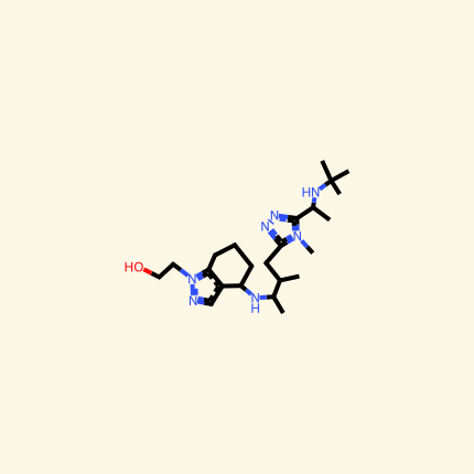 CC(NC(C)(C)C)c1nnc(CC(C)C(C)NC2CCCc3c2cnn3CCO)n1C